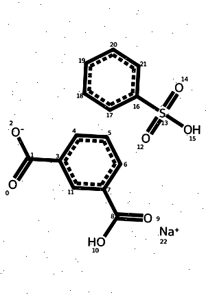 O=C([O-])c1cccc(C(=O)O)c1.O=S(=O)(O)c1ccccc1.[Na+]